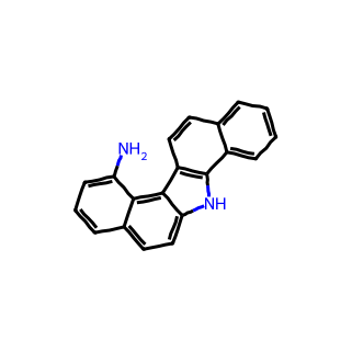 Nc1cccc2ccc3[nH]c4c5ccccc5ccc4c3c12